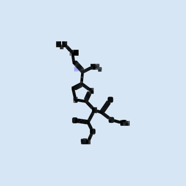 CC(C)(C)OC(=O)N(C(=O)OC(C)(C)C)c1nc(/C(N)=C/NN)cs1